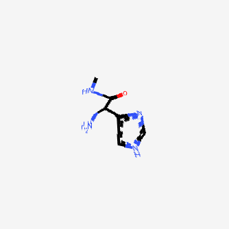 CNC(=O)C(N)c1c[nH]cn1